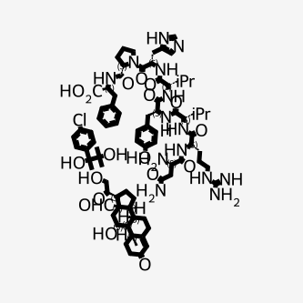 CC(C)(O)C(C)(O)c1ccc(Cl)cc1.CC(C)[C@H](NC(=O)[C@H](CCCNC(=N)N)NC(=O)[C@@H](N)CC(N)=O)C(=O)N[C@@H](Cc1ccc(O)cc1)C(=O)N[C@H](C(=O)N[C@@H](Cc1cnc[nH]1)C(=O)N1CCC[C@H]1C(=O)N[C@@H](Cc1ccccc1)C(=O)O)C(C)C.C[C@]12CCC(=O)C=C1CC[C@@H]1[C@@H]2[C@@H](O)C[C@]2(C=O)[C@@H](C(=O)CO)CC[C@@H]12